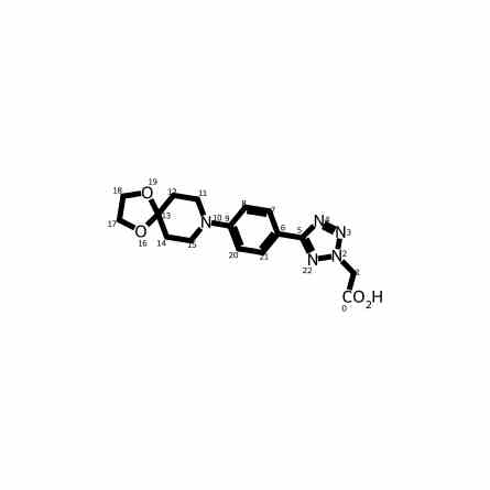 O=C(O)Cn1nnc(-c2ccc(N3CCC4(CC3)OCCO4)cc2)n1